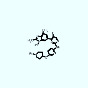 Cc1cc(-c2nc(Nc3ccc(OC4CCN(C(C)C)CC4)cn3)ncc2F)cc2c1nc(C)n2C(C)C